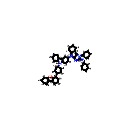 c1ccc(-n2c3ccccc3n3c4c5ccccc5n(-c5ccc6c(c5)c5ccccc5n6-c5ccc(-c6cccc7c6oc6ccccc67)cc5)c4nc23)cc1